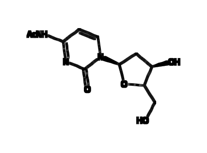 CC(=O)Nc1ccn([C@H]2C[C@@H](O)C(CO)O2)c(=O)n1